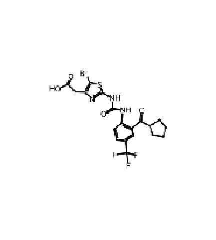 O=C(O)Cc1nc(NC(=O)Nc2ccc(C(F)(F)F)cc2C(=O)C2CCCC2)sc1Br